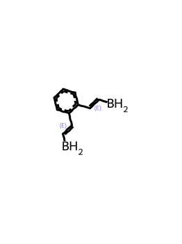 B/C=C/c1ccccc1/C=C/B